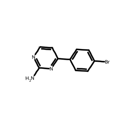 Nc1n[c]cc(-c2ccc(Br)cc2)n1